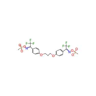 CS(=O)(=O)O/N=C(/c1ccc(OCCCOc2ccc(/C(=N/OS(C)(=O)=O)C(F)(F)F)cc2)cc1)C(F)(F)F